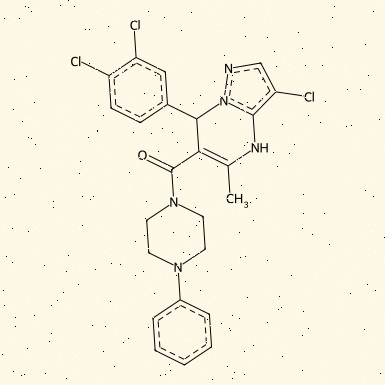 CC1=C(C(=O)N2CCN(c3ccccc3)CC2)C(c2ccc(Cl)c(Cl)c2)n2ncc(Cl)c2N1